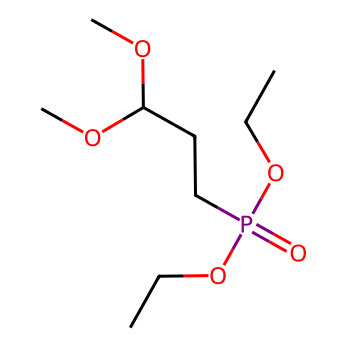 CCOP(=O)(CCC(OC)OC)OCC